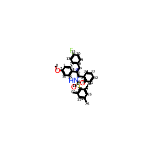 COc1ccc(/C(=C\c2ccc(F)cc2)C(NS(=O)(=O)c2c(C)cc(C)cc2C)c2ccccc2)cc1